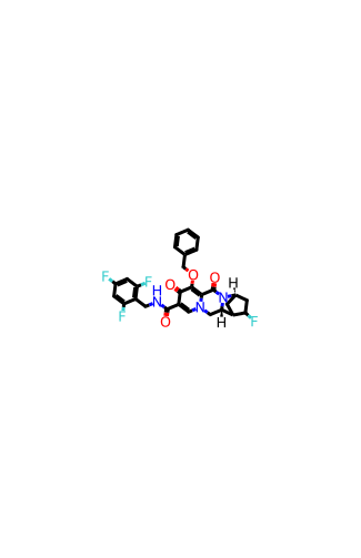 O=C(NCc1c(F)cc(F)cc1F)c1cn2c(c(OCc3ccccc3)c1=O)C(=O)N1[C@H]3CC(F)C(C3)[C@@H]1C2